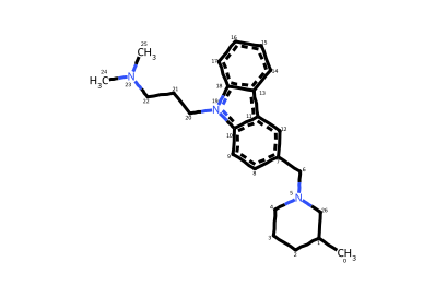 CC1CCCN(Cc2ccc3c(c2)c2ccccc2n3CCCN(C)C)C1